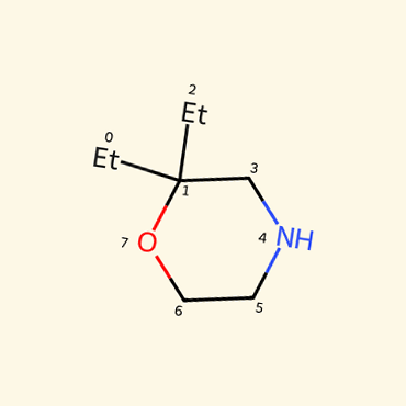 CCC1(CC)CNCCO1